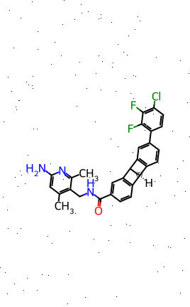 Cc1cc(N)nc(C)c1CNC(=O)c1ccc2c(c1)C1c3cc(-c4ccc(Cl)c(F)c4F)ccc3[C@@H]21